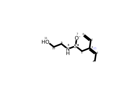 C=C/C(=C/C)C[S+]([O-])NCCO